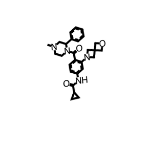 CN1CCN(C(=O)c2ccc(NC(=O)C3CC3)cc2N2CC3(COC3)C2)C(c2ccccc2)C1